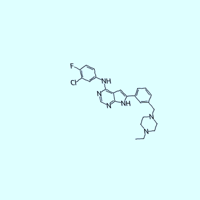 CCN1CCN(Cc2cccc(-c3cc4c(Nc5ccc(F)c(Cl)c5)ncnc4[nH]3)c2)CC1